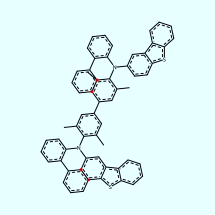 Cc1cc(-c2cc(C)c(N(c3ccc4sc5ccccc5c4c3)c3ccccc3-c3ccccc3)c(C)c2)cc(C)c1N(c1ccc2sc3ccccc3c2c1)c1ccccc1-c1ccccc1